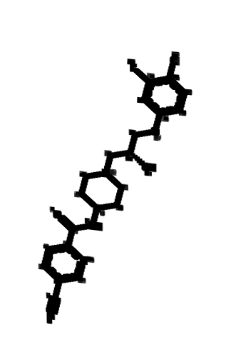 N#Cc1ccc(C(=O)NN2CCN(C[C@@H](O)COc3ccc(Cl)c(F)c3)CC2)nc1